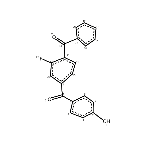 O=C(c1ccc(O)cc1)c1ccc(C(=O)c2ccccc2)c(F)c1